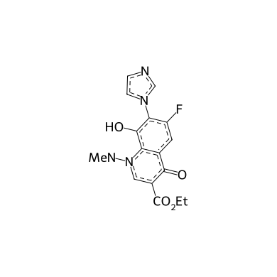 CCOC(=O)c1cn(NC)c2c(O)c(-n3ccnc3)c(F)cc2c1=O